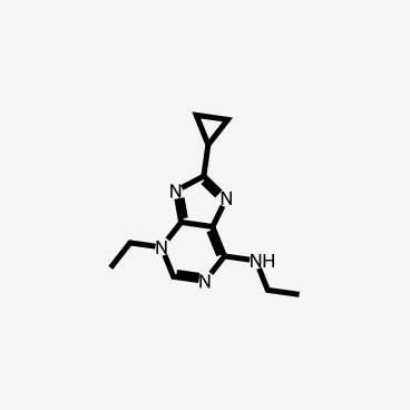 CCNc1ncn(CC)c2nc(C3CC3)nc1-2